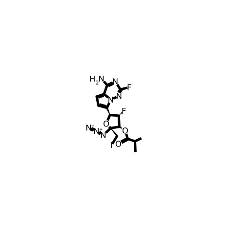 CC(C)C(=O)O[C@H]1[C@@H](F)[C@H](c2ccc3c(N)nc(F)nn23)O[C@@]1(CI)N=[N+]=[N-]